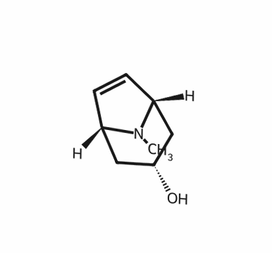 CN1[C@@H]2C=C[C@H]1C[C@@H](O)C2